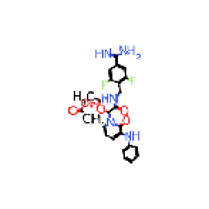 CC(=O)O.CCOC(C(=O)NCc1c(F)cc(C(=N)N)cc1F)n1cccc(Nc2ccccc2)c1=O